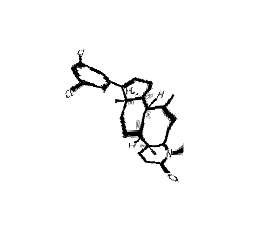 CC1CC2N(C)C(=O)CC[C@]2(C)[C@@H]2CC[C@]3(C)C(c4cc(Cl)cc(Cl)c4)=CC[C@H]3[C@H]12